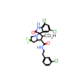 O=C(NCCc1cccc(Cl)c1)C1C2CC(F)(F)CN2C2(C(=O)Nc3c(Cl)cc(Cl)cc32)C1C(=O)O